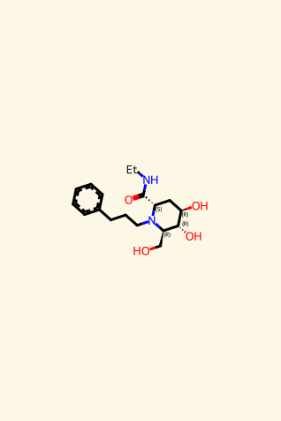 CCNC(=O)[C@@H]1C[C@@H](O)[C@H](O)[C@@H](CO)N1CCCc1ccccc1